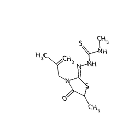 C=C(C)CN1C(=O)C(C)SC1=NNC(=S)NC